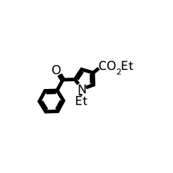 CCOC(=O)c1cc(C(=O)c2ccccc2)n(CC)c1